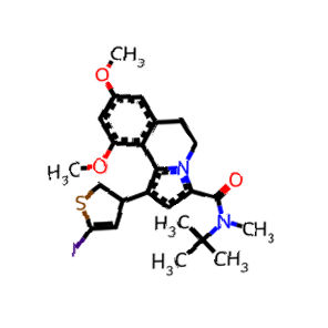 COc1cc2c(c(OC)c1)-c1c(C3C=C(I)SC3)cc(C(=O)N(C)C(C)(C)C)n1CC2